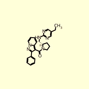 CCc1cnc(NC[C@@H]2CCCN2C(=O)c2c(-c3ccccc3)nn3ccccc23)nc1